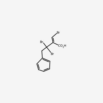 O=C(O)C(=CBr)C(Br)(Br)Cc1ccccc1